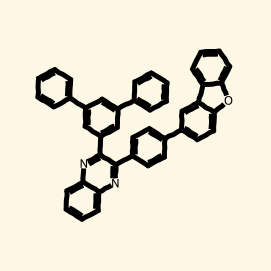 c1ccc(-c2cc(-c3ccccc3)cc(-c3nc4ccccc4nc3-c3ccc(-c4ccc5oc6ccccc6c5c4)cc3)c2)cc1